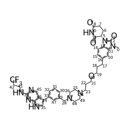 Cn1c(=O)n([C@H]2CCC(=O)NC2=O)c2ccc(CCCOCCCN3CCN(Cc4cccc(-c5c[nH]c6nc(NCCC(F)(F)F)ncc56)c4)CC3)cc21